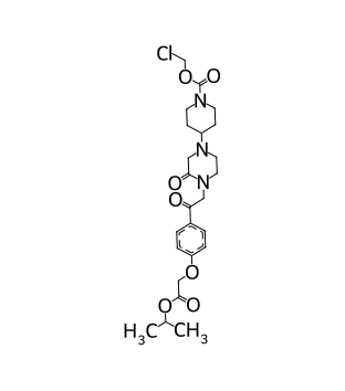 CC(C)OC(=O)COc1ccc(C(=O)CN2CCN(C3CCN(C(=O)OCCl)CC3)CC2=O)cc1